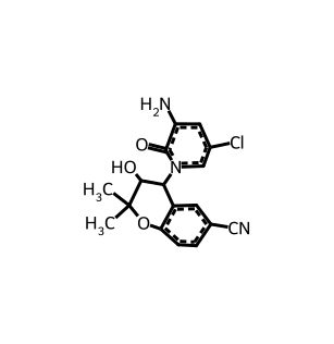 CC1(C)Oc2ccc(C#N)cc2C(n2cc(Cl)cc(N)c2=O)C1O